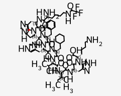 CC[C@H](C)[C@H](NC(=O)[C@@H](NC(=O)[C@H](CC1CCCCC1)NC(=O)[C@H](Cc1c[nH]cn1)NC(=O)[C@H](Cc1ccccc1)NC(=O)[C@@H]1CCCN1C(=O)[C@H](Cc1c[nH]cn1)NC(=O)[C@@H](N)CCCCNC(=O)C(F)(F)F)C(C)C)C(=O)N[C@@H](Cc1c[nH]cn1)C(=O)N[C@@H](CCCCN)C(=O)O